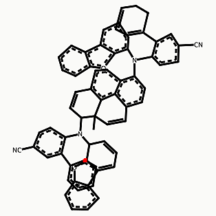 CC12C=Cc3ccc(N(c4ccc(C#N)cc4C4=CC=CCC4)c4cccc5c4oc4ccccc45)c4ccc(c1c34)C=CC2N(c1ccc(C#N)cc1-c1ccccc1)C1C=CC=C2c3ccccc3OC21